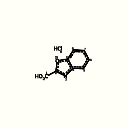 Cl.O=C(O)c1nc2ccccc2o1